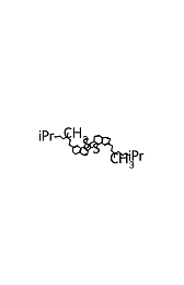 CC(C)CCCC(C)CCC1=Cc2c(ccc3c4c(sc23)C2C=Cc3ccc(CCC(C)CCCC(C)C)cc3C2S4)CC1